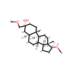 COC[C@@]1(O)CC[C@@]2(C)[C@@H](CC[C@@H]3[C@@H]2CC[C@]2(C)[C@@H](OC)CC[C@@H]32)C1